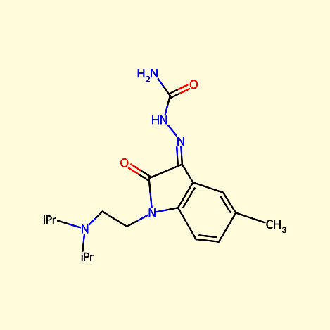 Cc1ccc2c(c1)C(=NNC(N)=O)C(=O)N2CCN(C(C)C)C(C)C